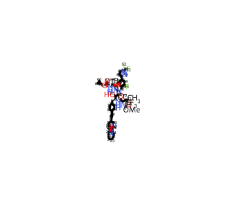 COC(=O)NC(C(=O)N[C@@H](Cc1ccc(C#Cc2ccc(N3CC4CCC(C3)N4C3COC3)nc2)cc1)[C@@H](O)CN(Cc1c(F)cc(-c2ccn(C(F)F)n2)cc1F)NC(=O)[C@@H](NC(=O)OC1CC1)C(C)(C)C)C(C)(C)C(F)(F)F